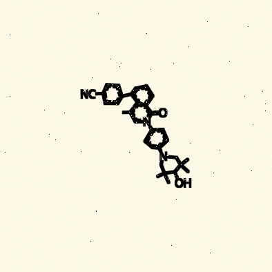 Cc1cn(-c2ccc(N3CC(C)(C)C(O)C(C)(C)C3)cc2)c(=O)c2cccc(-c3ccc(C#N)cc3)c12